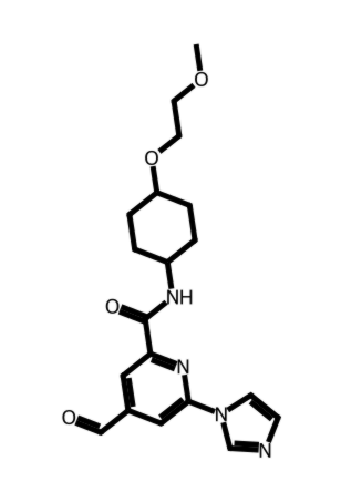 COCCOC1CCC(NC(=O)c2cc(C=O)cc(-n3ccnc3)n2)CC1